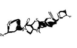 O=C1c2sc(-c3ccc(N4CC[C@@H](F)C4)nc3)nc2CCN1c1cncc(Br)c1